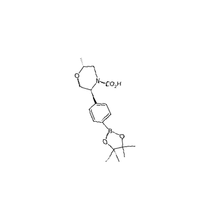 C[C@@H]1CN(C(=O)O)[C@@H](c2ccc(B3OC(C)(C)C(C)(C)O3)cc2)CO1